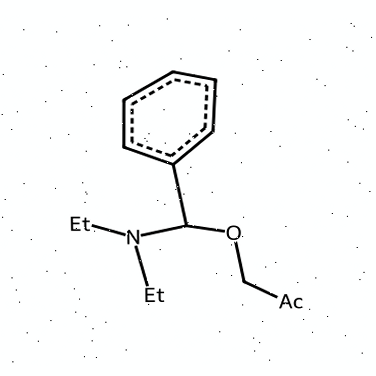 CCN(CC)C(OCC(C)=O)c1ccccc1